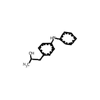 CC(O)Cc1ccc(Nc2ccccc2)cc1